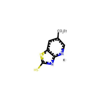 CCOC(=O)c1cnc2nc(S)sc2c1.[K]